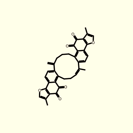 C=C1CCCc2c(ccc3c2C(=O)C(=O)c2c(C)coc2-3)C(C)=CCCc2c1ccc1c2C(=O)C(=O)c2c(C)coc2-1